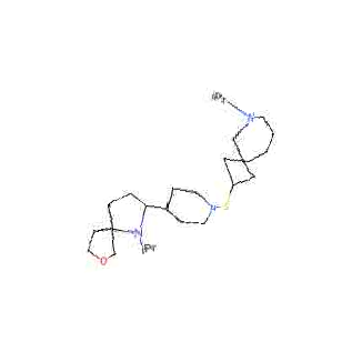 CC(C)N1CCCC2(CC(SN3CCC(C4CCC5(CCOC5)N4C(C)C)CC3)C2)C1